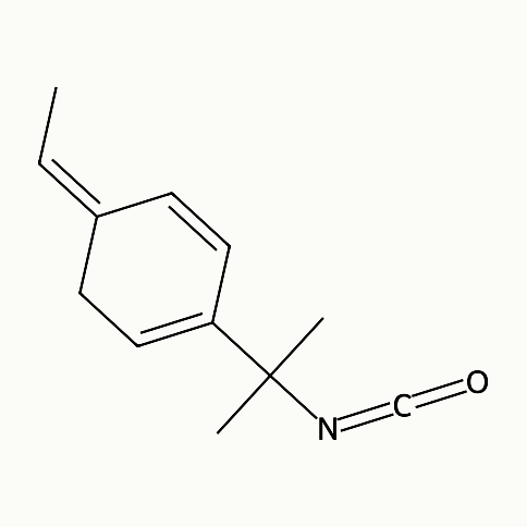 CC=C1C=CC(C(C)(C)N=C=O)=CC1